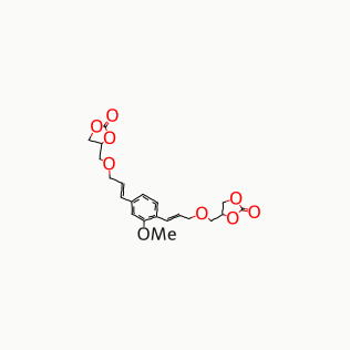 COc1cc(C=CCOCC2COC(=O)O2)ccc1C=CCOCC1COC(=O)O1